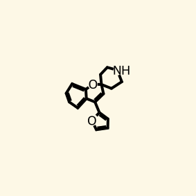 C1=C(c2ccco2)c2ccccc2OC12CCNCC2